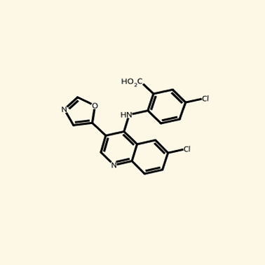 O=C(O)c1cc(Cl)ccc1Nc1c(-c2cnco2)cnc2ccc(Cl)cc12